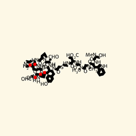 CNC(CO)C(=O)NC(Cc1c[nH]c2ccccc12)C(=O)N(C)CC(=O)N(C)CC(=O)NC(CCC(=O)O)C(=O)NCCSCC(=O)NC(Cc1ccc(O)cc1)C(CCCCNC=O)C(=O)N[C@@H](CC=O)C(=O)N1CCCC1C(=O)N[C@@H](Cc1cnc[nH]1)C(=O)NC(CCC(N)=O)C(=O)N1CCCC1C(=O)NCC=O